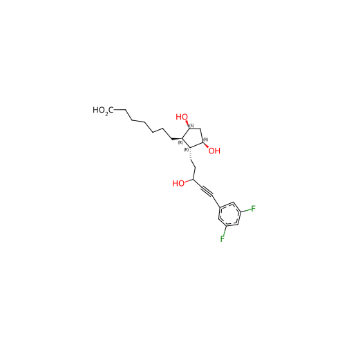 O=C(O)CCCCCC[C@@H]1[C@@H](CCC(O)C#Cc2cc(F)cc(F)c2)[C@H](O)C[C@@H]1O